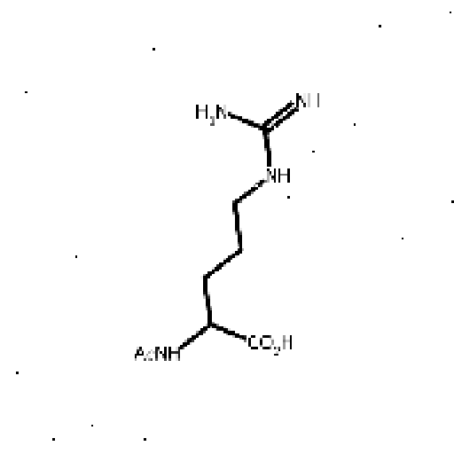 CC(=O)NC(CCCNC(=N)N)C(=O)O